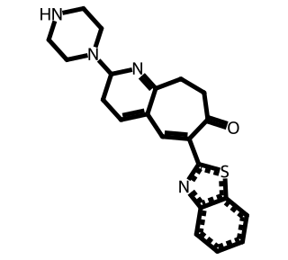 O=C1CCC2=NC(N3CCNCC3)CC=C2C=C1c1nc2ccccc2s1